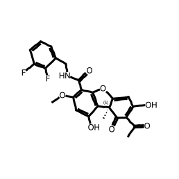 COc1cc(O)c2c(c1C(=O)NCc1cccc(F)c1F)OC1=CC(O)=C(C(C)=O)C(=O)[C@]12C